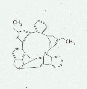 CCc1cc2cc(c1)-c1ccc3c4c1Cc1c-4c(cc4c5ccccc5n(c14)-c1cc(CC)cc(c1)-c1ccccc1-2)C3